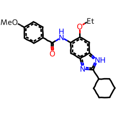 CCOc1cc2[nH]c(C3CCCCC3)nc2cc1NC(=O)c1ccc(OC)cc1